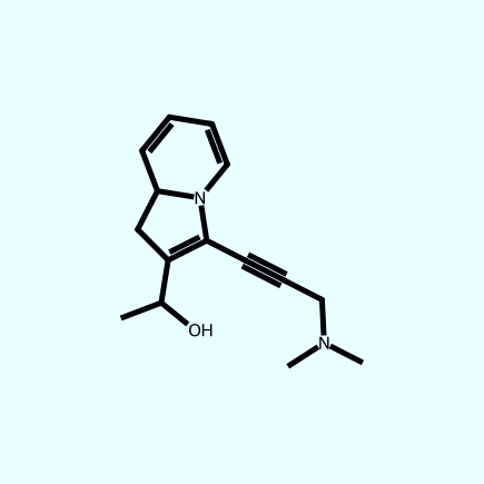 CC(O)C1=C(C#CCN(C)C)N2C=CC=CC2C1